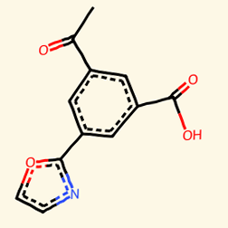 CC(=O)c1cc(C(=O)O)cc(-c2ncco2)c1